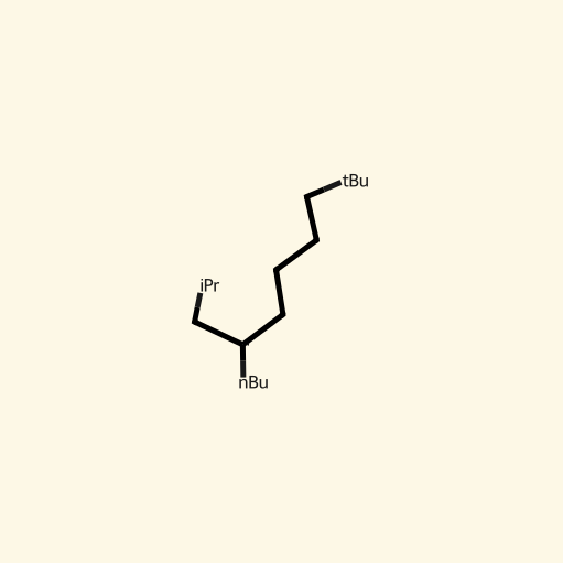 CCCC[C](CCCCC(C)(C)C)CC(C)C